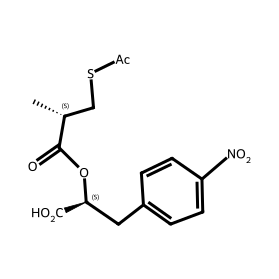 CC(=O)SC[C@@H](C)C(=O)O[C@@H](Cc1ccc([N+](=O)[O-])cc1)C(=O)O